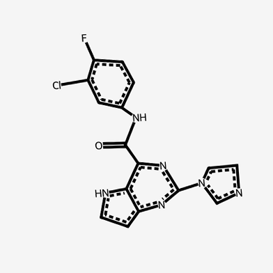 O=C(Nc1ccc(F)c(Cl)c1)c1nc(-n2ccnc2)nc2cc[nH]c12